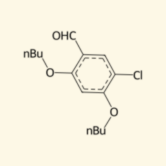 CCCCOc1cc(OCCCC)c(C=O)cc1Cl